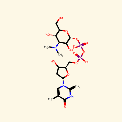 C=C1NC(=O)C(C)=CN1[C@H]1CC(O)[C@@H](COP(=O)(O)OP(=O)(O)O[C@H]2OC(CO)[C@@H](O)[C@H](N(C)C)C2O)O1